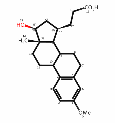 COc1ccc2c(c1)CCC1C2CC[C@@]2(C)C1[C@H](CCC(=O)O)C[C@@H]2O